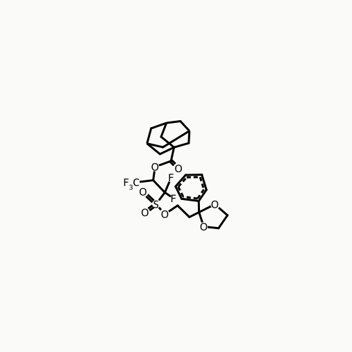 O=C(OC(C(F)(F)F)C(F)(F)S(=O)(=O)OCCC1(c2ccccc2)OCCO1)C12CC3CC(CC(C3)C1)C2